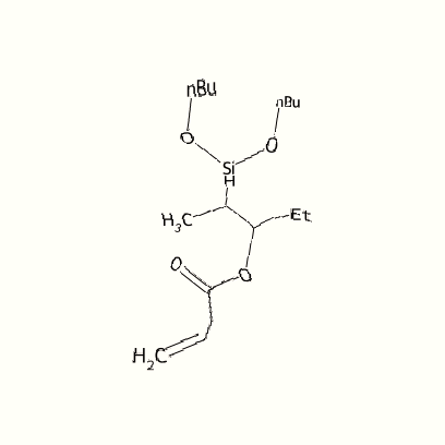 C=CC(=O)OC(CC)C(C)[SiH](OCCCC)OCCCC